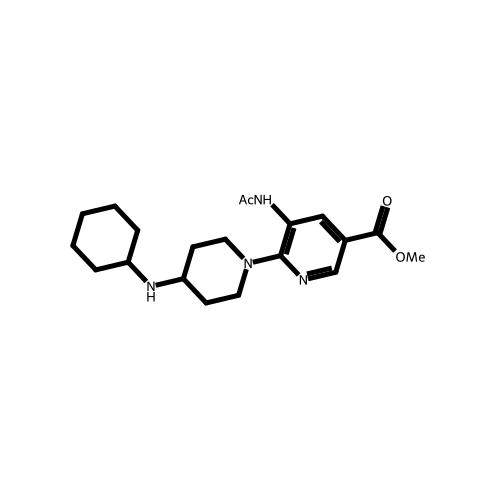 COC(=O)c1cnc(N2CCC(NC3CCCCC3)CC2)c(NC(C)=O)c1